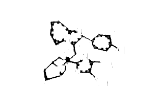 Cc1nc(C(=O)N2C3CCC2CN(Cc2c(-c4ccc(Cl)cc4)nc4ccccn24)C3)sc1C